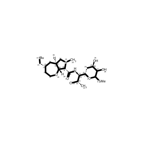 CSC1O[C@H]([C@H](NC(=O)[C@@H]2[C@@H]3OCC[C@H](CC(C)(C)C)C[C@H]3CN2C)[C@H](C)Cl)C[C@@H](O)C1O